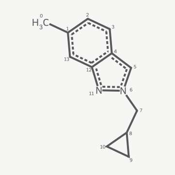 Cc1ccc2cn(CC3CC3)nc2c1